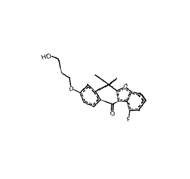 CC1(C)c2cc(OCCCO)ccc2C(=O)c2c1oc1cccc(F)c21